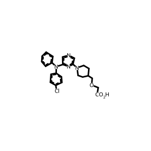 O=C(O)COCC1CCN(c2cncc(N(c3ccccc3)c3ccc(Cl)cc3)n2)CC1